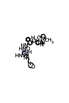 CC(C)C(=N)/C=C(/NC(=O)N[C@H]1CC[C@@H](Oc2ccc3nnc(N4[C@H](C)CCC[C@@H]4C)n3c2)c2ccccc21)Nc1cnn(CCN2CCCOCC2)c1